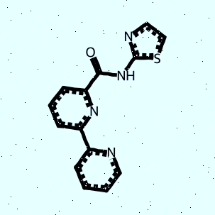 O=C(Nc1nccs1)c1cccc(-c2ccccn2)n1